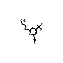 CCCNc1cc(C(F)(F)F)cc(C#N)n1